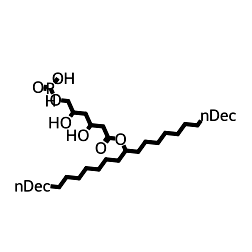 CCCCCCCCCCCCCCCCCC(CCCCCCCCCCCCCCCCC)OC(=O)CC(O)CC(O)CO[PH](=O)O